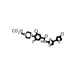 O=C(O)CN1CCN(c2c(F)cc(C(=O)Nc3nc(-c4cc(Cl)cs4)cs3)cc2Cl)CC1